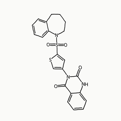 O=c1[nH]c2ccccc2c(=O)n1-c1csc(S(=O)(=O)N2CCCCc3ccccc32)c1